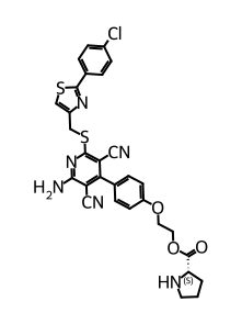 N#Cc1c(N)nc(SCc2csc(-c3ccc(Cl)cc3)n2)c(C#N)c1-c1ccc(OCCOC(=O)[C@@H]2CCCN2)cc1